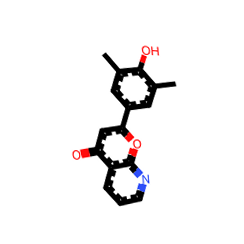 Cc1cc(-c2cc(=O)c3cccnc3o2)cc(C)c1O